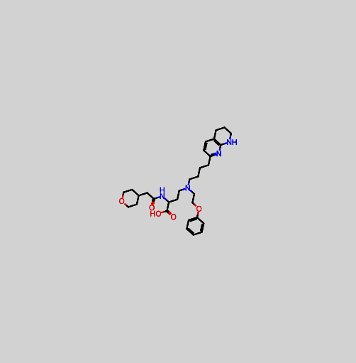 O=C(CC1CCOCC1)NC(CCN(CCCCc1ccc2c(n1)NCCC2)CCOc1ccccc1)C(=O)O